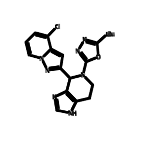 CC(C)(C)c1nnc(N2CCc3[nH]cnc3C2c2cc3c(Cl)cccn3n2)o1